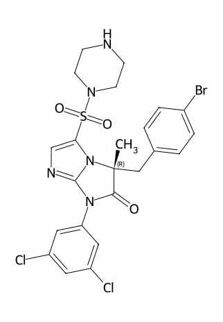 C[C@@]1(Cc2ccc(Br)cc2)C(=O)N(c2cc(Cl)cc(Cl)c2)c2ncc(S(=O)(=O)N3CCNCC3)n21